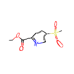 COC(=O)c1ccc(S(C)(=O)=O)cn1